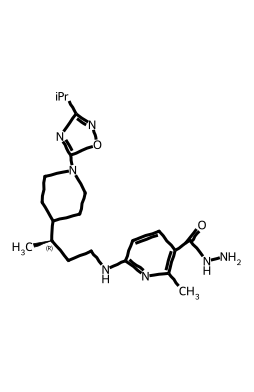 Cc1nc(NCC[C@@H](C)C2CCN(c3nc(C(C)C)no3)CC2)ccc1C(=O)NN